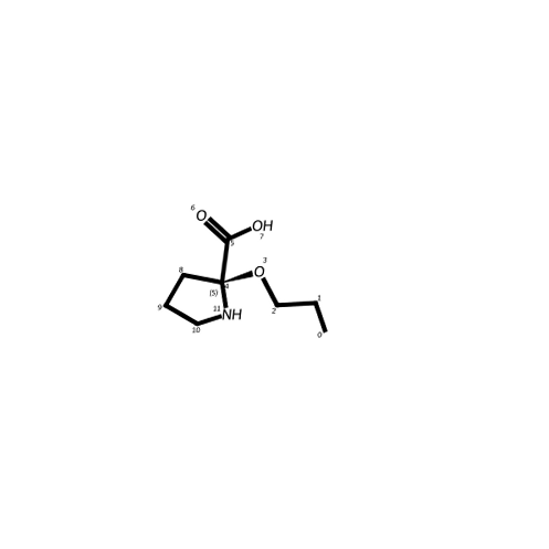 CCCO[C@]1(C(=O)O)CCCN1